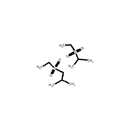 CCS(=O)(=O)C(C)C.CCS(=O)(=O)CC(C)C